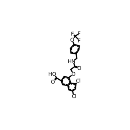 O=C(COc1cc(C(=O)O)cc2cc(Cl)cc(Cl)c12)NCc1ccc(OC(F)(F)F)cc1